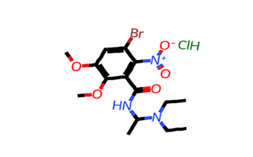 CCN(CC)C(C)NC(=O)c1c(OC)c(OC)cc(Br)c1[N+](=O)[O-].Cl